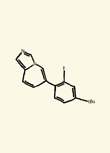 CC(C)(C)c1ccc(-c2ccc3cncn3c2)c(F)c1